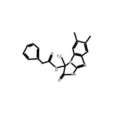 Cc1cc2nc3n(c2cc1C)C(NC(=O)Cc1ccccc1)(C(F)(F)F)C(=O)N3